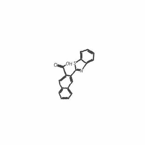 O=C(O)c1cc2ccccc2cc1-c1nc2ccccc2s1